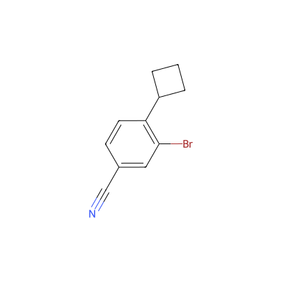 N#Cc1ccc(C2CCC2)c(Br)c1